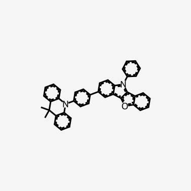 CC1(C)c2ccccc2N(c2ccc(-c3ccc4c(c3)c3oc5ccccc5c3n4-c3ccccc3)cc2)c2ccccc21